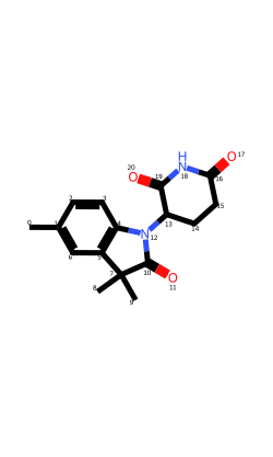 Cc1ccc2c(c1)C(C)(C)C(=O)N2C1CCC(=O)NC1=O